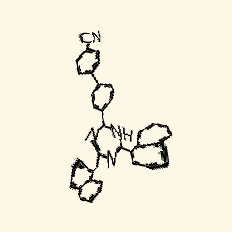 N#Cc1ccc(-c2ccc(C3N=C(c4cccc5ccccc45)N=C(c4cccc5ccccc45)N3)cc2)cc1